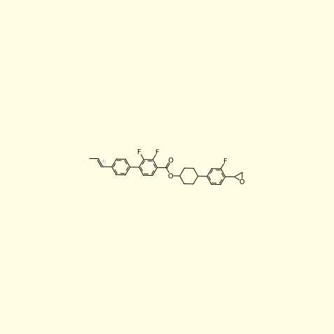 C/C=C/c1ccc(-c2ccc(C(=O)OC3CCC(c4ccc(C5CO5)c(F)c4)CC3)c(F)c2F)cc1